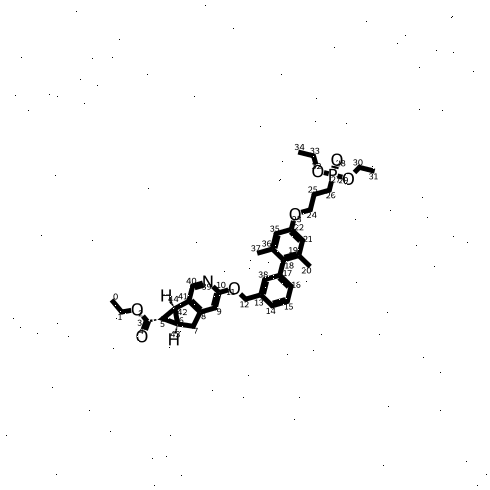 CCOC(=O)[C@H]1[C@@H]2Cc3cc(OCc4cccc(-c5c(C)cc(OCCCP(=O)(OCC)OCC)cc5C)c4)ncc3[C@@H]21